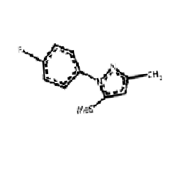 CSc1cc(C)nn1-c1ccc(F)cc1